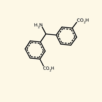 NC(c1cccc(C(=O)O)c1)c1cccc(C(=O)O)c1